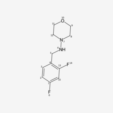 Fc1ccc(CNN2CCOCC2)c(F)c1